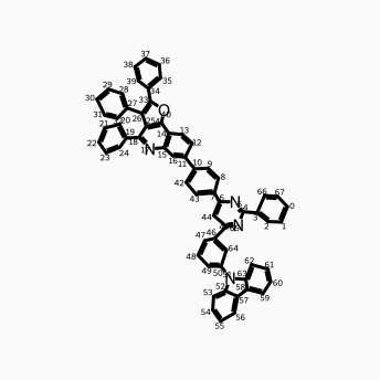 c1ccc(-c2nc(-c3ccc(-c4ccc5c(c4)nc(-c4ccccc4)c4c(-c6ccccc6)c(-c6ccccc6)oc45)cc3)cc(-c3cccc(-n4c5ccccc5c5ccccc54)c3)n2)cc1